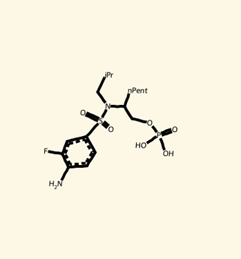 CCCCCC(COP(=O)(O)O)N(CC(C)C)S(=O)(=O)c1ccc(N)c(F)c1